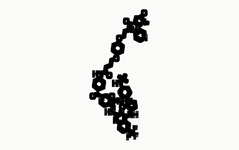 CC(=O)N[C@@H]1C[C@H](NC(C)(C)C)CC[C@@H]1N1CC[C@H](Nc2nc(NCC3CCN(C(=O)[C@H]4CC[C@H](NC(=O)CCCO[C@H]5CC[C@H](OCCNC(=O)[C@H]6CC(=O)N(C)[C@@H]6c6cccnc6)CC5)CC4)CC3)nc3ccc(C(F)(F)F)cc23)C1=O